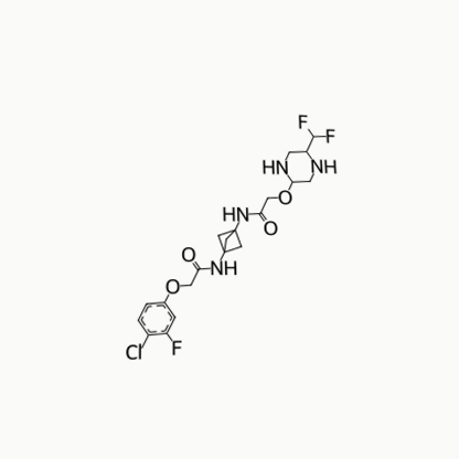 O=C(COc1ccc(Cl)c(F)c1)NC12CC(NC(=O)COC3CNC(C(F)F)CN3)(C1)C2